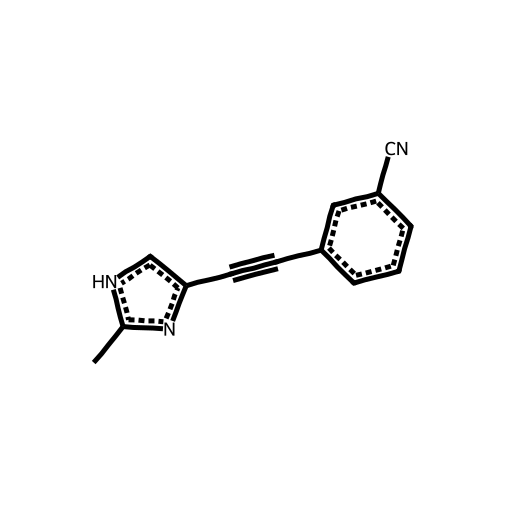 Cc1nc(C#Cc2cccc(C#N)c2)c[nH]1